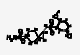 COc1ccc(Cl)cc1S(=O)(=O)C[C@@H]1CC12CCN(S(N)(=O)=O)CC2